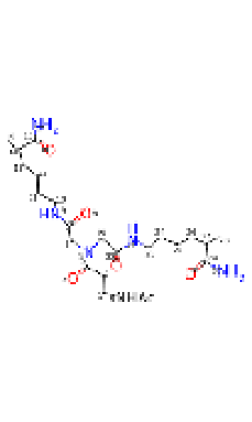 CC(=O)NCCC(=O)N(CC(=O)NCCCCC(C)C(N)=O)CC(=O)NCCCCC(C)C(N)=O